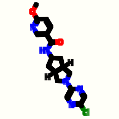 COc1ccc(C(=O)NC2C[C@@H]3CN(c4cnc(Cl)cn4)C[C@@H]3C2)cn1